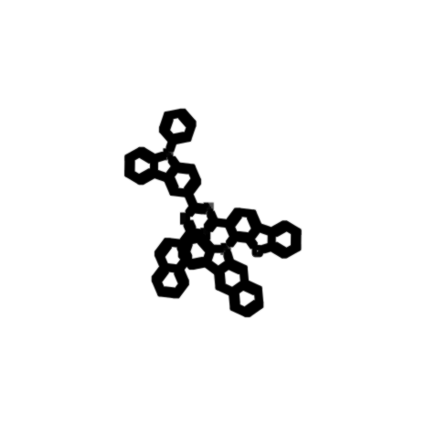 c1ccc(-n2c3ccccc3c3cc(-c4nc(-c5ccc6ccccc6c5)nc(-c5ccc6c(oc7ccccc76)c5-n5c6ccccc6c6cc7ccccc7cc65)n4)ccc32)cc1